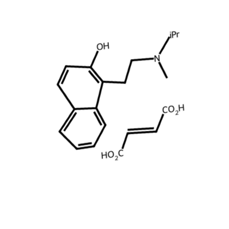 CC(C)N(C)CCc1c(O)ccc2ccccc12.O=C(O)/C=C/C(=O)O